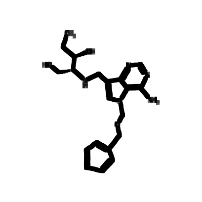 CC[C@@H](O)[C@@H](CO)NCc1cn(COCc2ccccc2)c2c(N)ncnc12